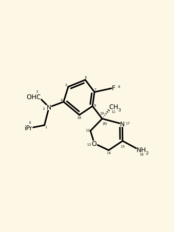 CC(C)CN(C=O)c1ccc(F)c([C@]2(C)COCC(N)=N2)c1